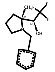 C[C@]1([C@H](O)C(F)(F)F)CCCN1Cc1ccccc1